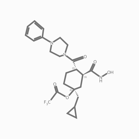 O=C(NO)[C@H]1C[C@@](CC2CC2)(OC(=O)C(F)(F)F)CC[C@@H]1C(=O)N1CCN(c2ccccc2)CC1